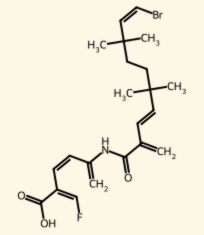 C=C(/C=C\C(=C\F)C(=O)O)NC(=O)C(=C)/C=C/C(C)(C)CCC(C)(C)/C=C\Br